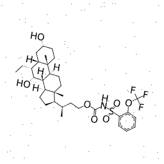 CC[C@H]1[C@@H](O)[C@@H]2[C@H](CC[C@]3(C)[C@@H]([C@H](C)CCOC(=O)NS(=O)(=O)c4ccccc4OC(F)(F)F)CC[C@@H]23)[C@@]2(C)CC[C@@H](O)C[C@@H]12